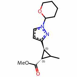 COC(=O)[C@H]1C(C)[C@@H]1c1ccn(C2CCCCO2)n1